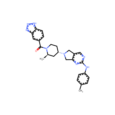 Cc1ccc(Nc2ncc3c(n2)CN([C@H]2CCN(C(=O)c4ccc5[nH]nnc5c4)[C@H](C)C2)C3)cc1